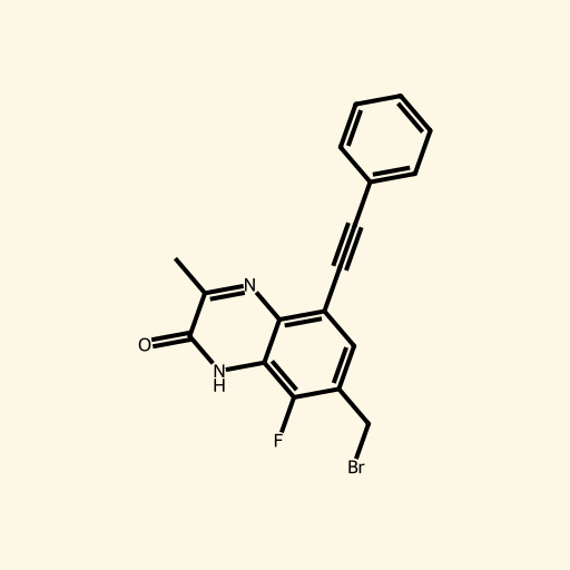 Cc1nc2c(C#Cc3ccccc3)cc(CBr)c(F)c2[nH]c1=O